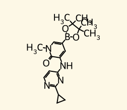 Cn1cc(B2OC(C)(C)C(C)(C)O2)cc(Nc2ccnc(C3CC3)n2)c1=O